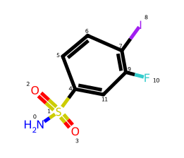 NS(=O)(=O)c1ccc(I)c(F)c1